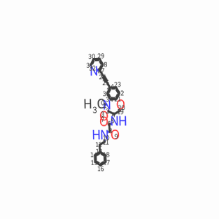 CN1C(=O)[C@@H](NC(=O)C(=O)NCCc2ccccc2)COc2ccc(C#Cc3ccccn3)cc21